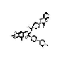 Cc1cc(C[C@@H](OC(=O)N2CCC(N3Cc4ccccc4NC3=O)CC2)C(=O)N2CCN(C3CCN(C)CC3)CC2)cc2oc(=O)[nH]c12